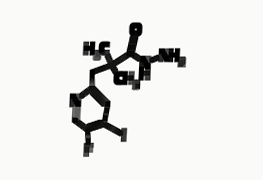 CC(C)(Cc1cc(I)c(F)cn1)C(=O)NN